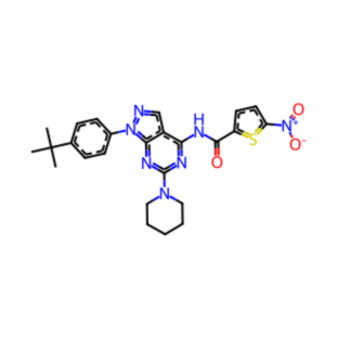 CC(C)(C)c1ccc(-n2ncc3c(NC(=O)c4ccc([N+](=O)[O-])s4)nc(N4CCCCC4)nc32)cc1